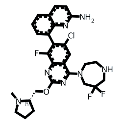 CN1CCC[C@H]1COc1nc(N2CCNCC(F)(F)C2)c2cc(Cl)c(-c3cccc4ccc(N)nc34)c(F)c2n1